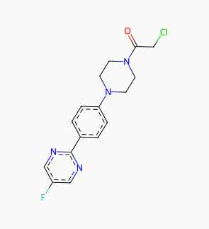 O=C(CCl)N1CCN(c2ccc(-c3ncc(F)cn3)cc2)CC1